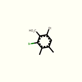 CCc1cc(C)c(C)c(Br)c1C(=O)O